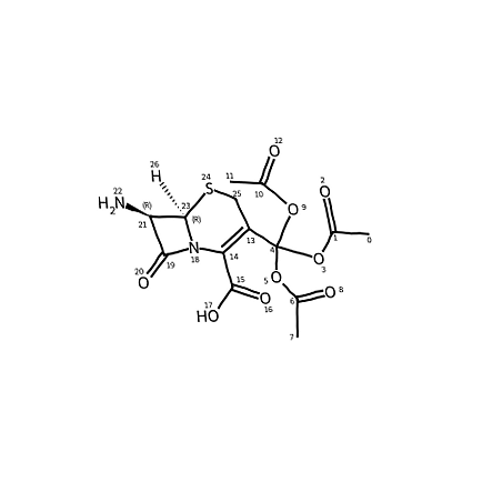 CC(=O)OC(OC(C)=O)(OC(C)=O)C1=C(C(=O)O)N2C(=O)[C@@H](N)[C@H]2SC1